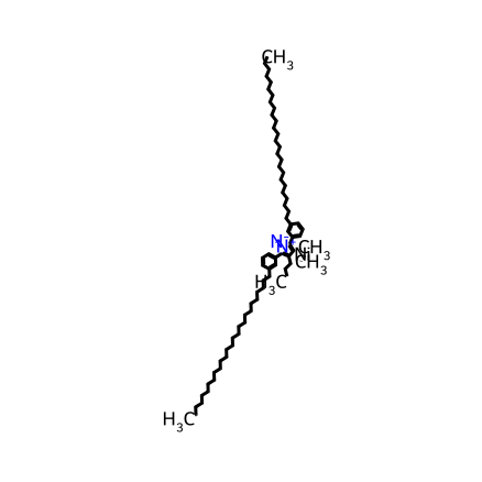 CCCCCCCCCCCCCCCCCCCCCCCCCCc1cccc(C2=CC(CCCC)=C(c3cccc(CCCCCCCCCCCCCCCCCCCCCCCCCC)c3)[N+]2=[N-])c1.[CH3][Ni][CH3]